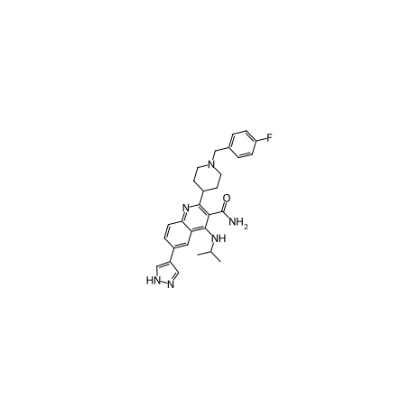 CC(C)Nc1c(C(N)=O)c(C2CCN(Cc3ccc(F)cc3)CC2)nc2ccc(-c3cn[nH]c3)cc12